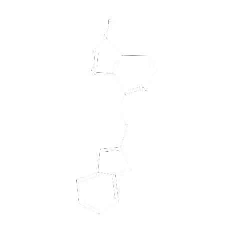 CCn1cnc2c(SCc3cc4ccccc4s3)nccc21